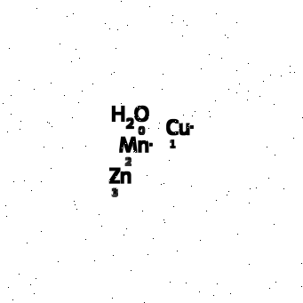 O.[Cu].[Mn].[Zn]